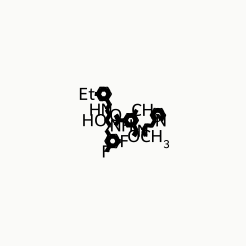 CCc1cccc(CNC[C@@H](O)[C@H](Cc2cc(F)cc(F)c2)NC(=O)c2cc(C)cc(C(=O)N(C)CCc3ccccn3)c2)c1